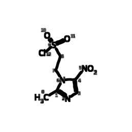 Cc1ncc([N+](=O)[O-])n1CCS(=O)(=O)Cl